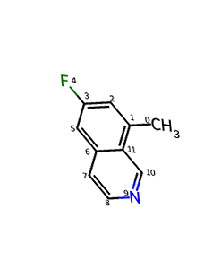 Cc1cc(F)cc2ccncc12